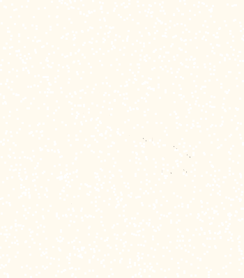 CCCC(Sc1cc(C)c(-c2ccc(C(F)(F)F)cc2)c(C)c1)c1ccc(C(=O)NCc2nnn[nH]2)s1